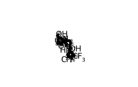 CN1OC(CO)Cn2nc3c(c2C1=O)CN(C(O)Nc1cc(Cl)c(F)c(C(F)(F)F)c1)CC3